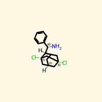 N[C@@H](c1ccccc1)[C@H]1C2C[C@H]3C[C@](Cl)(C2)C[C@@]1(Cl)C3